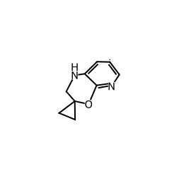 [c]1cnc2c(c1)NCC1(CC1)O2